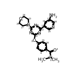 CN(C)C(=O)c1ccc(Oc2nc(-c3cncc(N)c3)nc(N3CCOCC3)n2)cc1